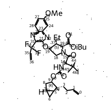 C=CCC[C@@H]1C2C[C@H]2C[C@H]1OC(=O)N[C@H](C(=O)N1C[C@H](Oc2nc3cc(OC)ccc3nc2C(F)(F)C=C)[C@@H](CC)[C@H]1C(=O)OCC(C)C)C(C)(C)I